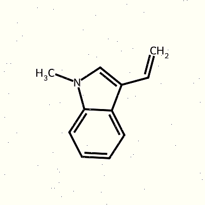 C=Cc1cn(C)c2ccccc12